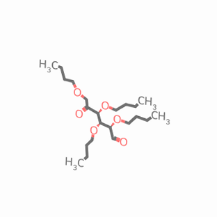 CCCCOCC(=O)[C@@H](OCCCC)[C@H](OCCCC)[C@H](C=O)OCCCC